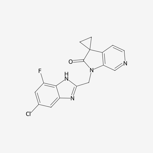 O=C1N(Cc2nc3cc(Cl)cc(F)c3[nH]2)c2cnccc2C12CC2